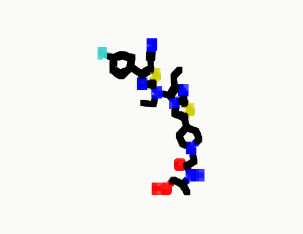 CCc1nc2sc(C3CCN(CC(=O)NC(C)CO)CC3)cn2c1N(CC)c1nc(-c2ccc(F)cc2)c(C#N)s1